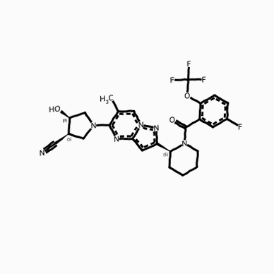 Cc1cn2nc([C@@H]3CCCCN3C(=O)c3cc(F)ccc3OC(F)(F)F)cc2nc1N1C[C@@H](C#N)[C@@H](O)C1